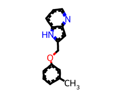 Cc1cccc(OCc2cc3ncccc3[nH]2)c1